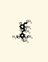 C=CCC1=C[C@@]2(OC)C(=CC1=O)O[C@H](c1cc(OC)c(OC)c(OC)c1)[C@@H]2C